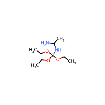 CCO[Si](NC(C)N)(OCC)OCC